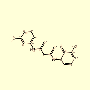 O=C(CC(=O)NC1C=CN=C(Cl)C1=O)Nc1cccc(C(F)(F)F)c1